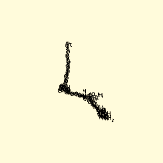 CCOCCOCCOCCOCCOCCOCCOCCOCCC(=O)N[C@@H](Cc1cn(CCOCCOCCOCCNC(=O)CC[C@H](NC(=O)c2ccc(NCc3cnc4nc(N)[nH]c(=O)c4n3)cc2)C(=O)O)nn1)C(N)=O